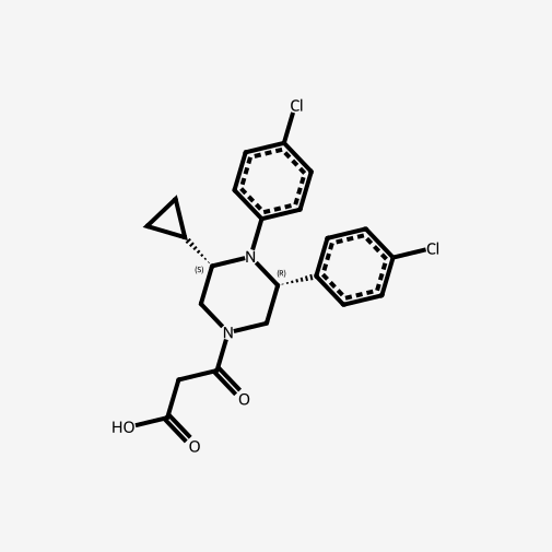 O=C(O)CC(=O)N1C[C@H](C2CC2)N(c2ccc(Cl)cc2)[C@H](c2ccc(Cl)cc2)C1